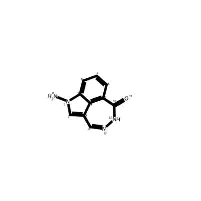 Nn1cc2c3c(cccc31)C(=O)NN=C2